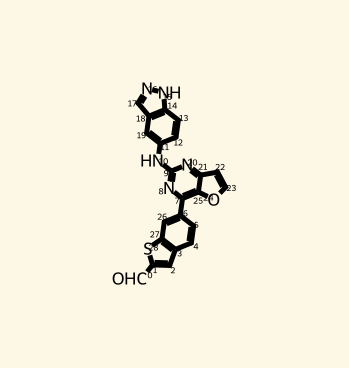 O=Cc1cc2ccc(-c3nc(Nc4ccc5[nH]ncc5c4)nc4ccoc34)cc2s1